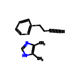 C#CCCc1ccccc1.Cc1nc[nH]c1C